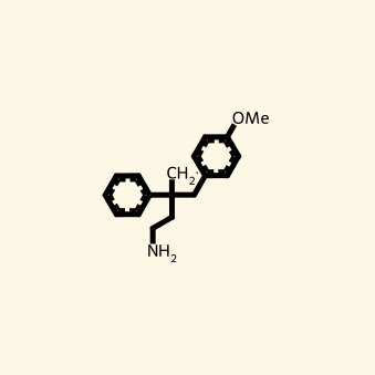 [CH2]C(CCN)(Cc1ccc(OC)cc1)c1ccccc1